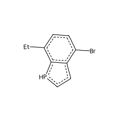 CCc1ccc(Br)c2cc[pH]c12